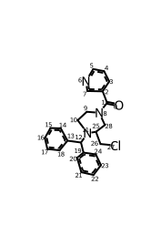 O=C(c1cccnc1)N1CCN(C(c2ccccc2)c2ccccc2)C(CCl)C1